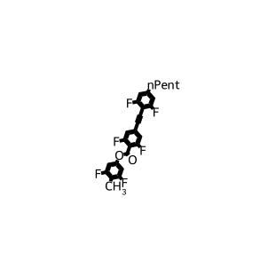 CCCCCc1cc(F)c(C#Cc2cc(F)c(C(=O)Oc3cc(F)c(C)c(F)c3)c(F)c2)c(F)c1